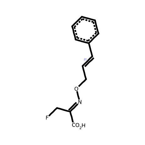 O=C(O)C(CF)=NOC/C=C/c1ccccc1